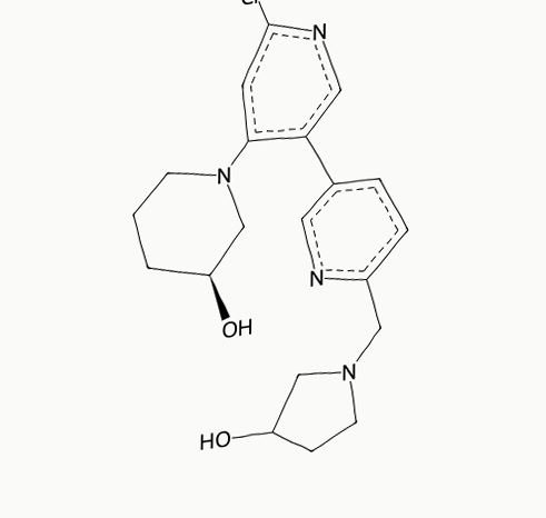 OC1CCN(Cc2ccc(-c3cnc(Cl)cc3N3CCC[C@H](O)C3)cn2)C1